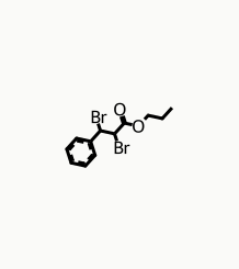 CCCOC(=O)C(Br)C(Br)c1ccccc1